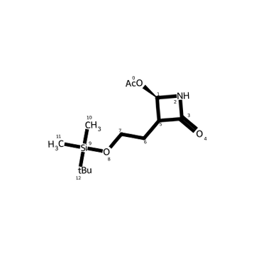 CC(=O)O[C@H]1NC(=O)C1CCO[Si](C)(C)C(C)(C)C